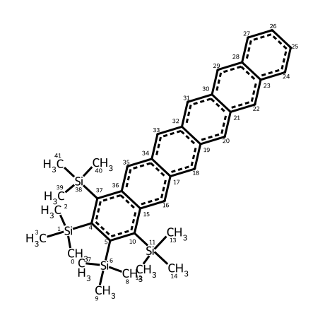 C[Si](C)(C)c1c([Si](C)(C)C)c([Si](C)(C)C)c2cc3cc4cc5cc6ccccc6cc5cc4cc3cc2c1[Si](C)(C)C